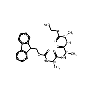 CC(=O)OCNC(=O)[C@H](C)NC(=O)[C@@H](C)NC(=O)[C@H](C)NC(=O)OCC1c2ccccc2-c2ccccc21